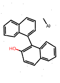 Oc1ccc2ccccc2c1-c1cccc2ccccc12.[CH3][Al]